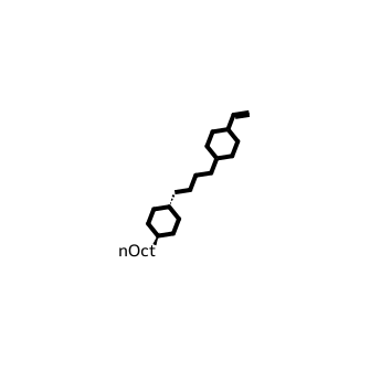 C=CC1CCC(CCCC[C@H]2CC[C@H](CCCCCCCC)CC2)CC1